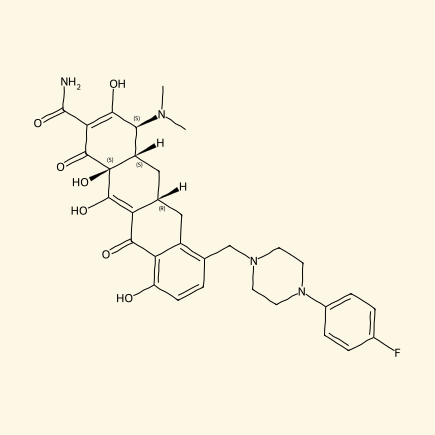 CN(C)[C@@H]1C(O)=C(C(N)=O)C(=O)[C@@]2(O)C(O)=C3C(=O)c4c(O)ccc(CN5CCN(c6ccc(F)cc6)CC5)c4C[C@H]3C[C@@H]12